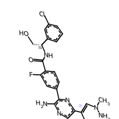 CS/C(=C\N(C)N)c1cnc(N)c(-c2ccc(C(=O)N[C@H](CO)c3cccc(Cl)c3)c(F)c2)n1